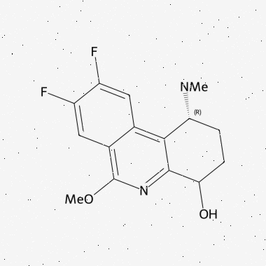 CN[C@@H]1CCC(O)c2nc(OC)c3cc(F)c(F)cc3c21